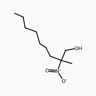 CCCCCCCC(C)(CO)[N+](=O)[O-]